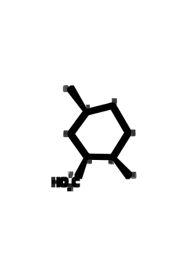 C[C@H]1CC[C@@H](C)[C@@H](C(=O)O)C1